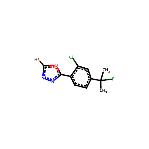 CC(C)(F)c1ccc(-c2nnc(S)o2)c(Cl)c1